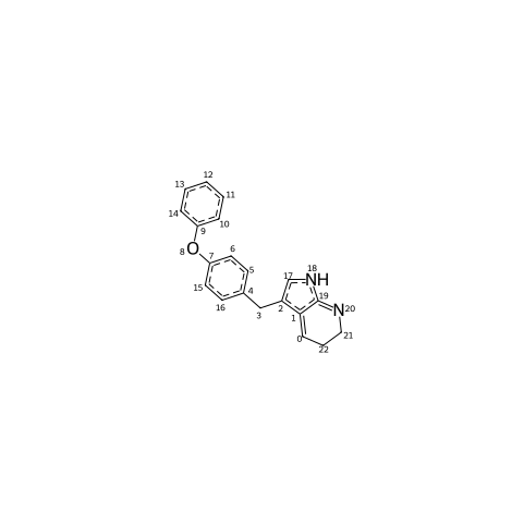 C1=c2c(Cc3ccc(Oc4ccccc4)cc3)c[nH]c2=NCC1